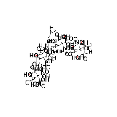 NCCN.O=P(O)(O)C(P(=O)(O)O)(P(=O)(O)O)P(=O)(O)O.O=P(O)(O)C(P(=O)(O)O)(P(=O)(O)O)P(=O)(O)O.O=P(O)(O)C(P(=O)(O)O)(P(=O)(O)O)P(=O)(O)O.O=P(O)(O)C(P(=O)(O)O)(P(=O)(O)O)P(=O)(O)O